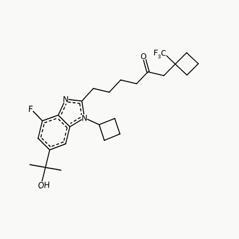 CC(C)(O)c1cc(F)c2nc(CCCCC(=O)CC3(C(F)(F)F)CCC3)n(C3CCC3)c2c1